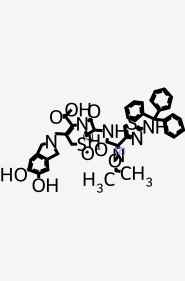 CC(C)O/N=C(\C(=O)NC1C(=O)N2C(C(=O)O)=C(CN3Cc4cc(O)c(O)cc4C3)C[S+]([O-])[C@@H]12)c1csc(NC(c2ccccc2)(c2ccccc2)c2ccccc2)n1